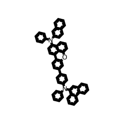 c1ccc(N(c2ccc3ccccc3c2)c2ccc3c4c(cccc24)Oc2cc(-c4ccc(N(c5ccccc5)c5cc6ccccc6c6ccccc56)cc4)ccc2-3)cc1